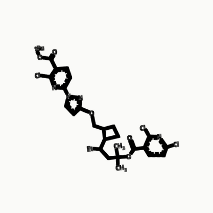 CCC(CC(C)(C)OC(=O)c1ccc(Cl)nc1Cl)C1CCC1COc1ccn(-c2ccc(C(=O)OC(C)(C)C)c(Cl)n2)n1